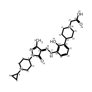 CC1=NN(C2CCN(C3CC3)CC2)C(=O)C1=NNc1cccc(C2CCN(CC(=O)O)CC2)c1O